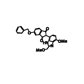 COCc1nc2c(OC)ccc(C3C(=O)c4ccc(OCc5ccccc5)cc4C3=O)c2[nH]1